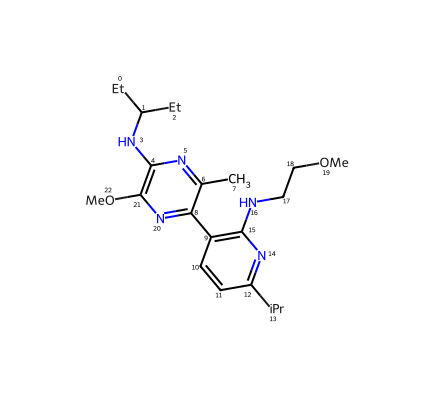 CCC(CC)Nc1nc(C)c(-c2ccc(C(C)C)nc2NCCOC)nc1OC